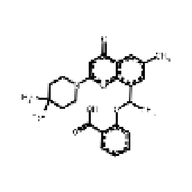 Cc1cc(C(C)Oc2ccccc2C(=O)O)c2oc(N3CCC(C)(C)CC3)cc(=O)c2c1